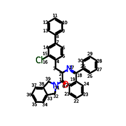 O=C(C(Cc1ccc(-c2ccccc2)cc1Cl)N=C(c1ccccc1)c1ccccc1)N1Cc2ccccc2C1